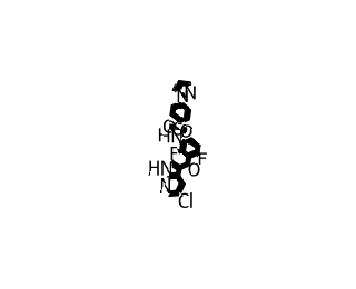 O=C(c1c(F)ccc(NS(=O)(=O)c2ccc(-n3cccn3)cc2)c1F)c1c[nH]c2ncc(Cl)cc12